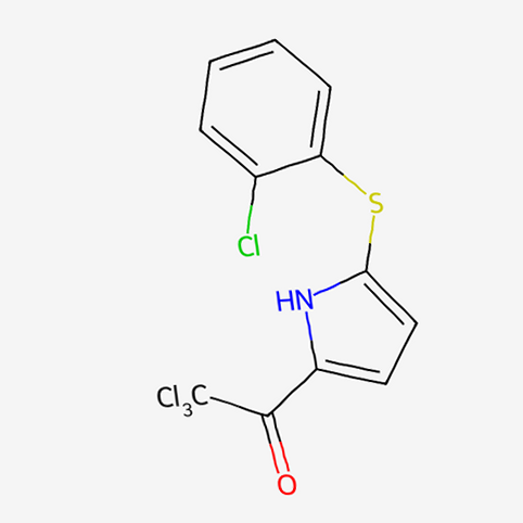 O=C(c1ccc(Sc2ccccc2Cl)[nH]1)C(Cl)(Cl)Cl